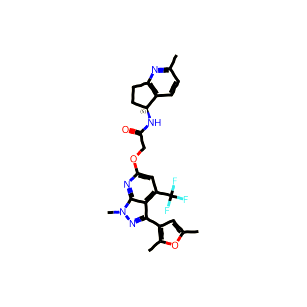 Cc1ccc2c(n1)CC[C@@H]2NC(=O)COc1cc(C(F)(F)F)c2c(-c3cc(C)oc3C)nn(C)c2n1